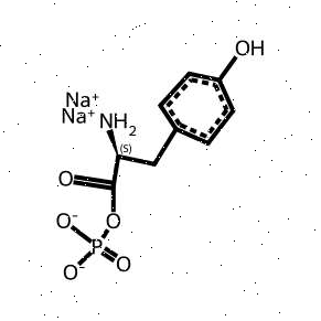 N[C@@H](Cc1ccc(O)cc1)C(=O)OP(=O)([O-])[O-].[Na+].[Na+]